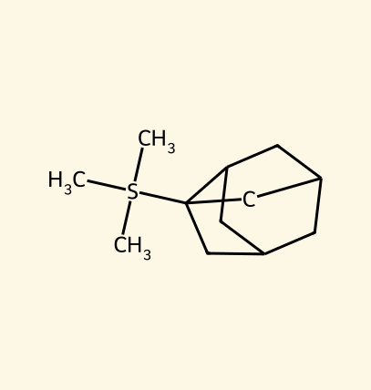 CS(C)(C)C12CC3CC(CC1C3)C2